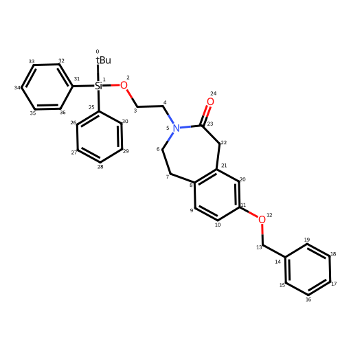 CC(C)(C)[Si](OCCN1CCc2ccc(OCc3ccccc3)cc2CC1=O)(c1ccccc1)c1ccccc1